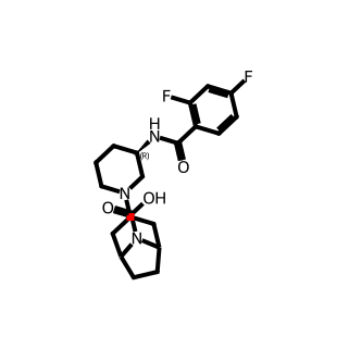 O=C(N[C@@H]1CCCN(C2CC3CCC(C2)N3C(=O)O)C1)c1ccc(F)cc1F